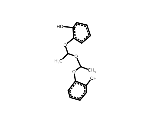 CC(Oc1ccccc1O)OC(C)Oc1ccccc1O